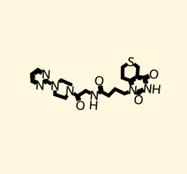 O=C(CCCn1c2c(c(=O)[nH]c1=O)CSCC2)NCC(=O)N1CCN(c2ncccn2)CC1